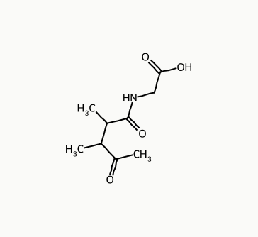 CC(=O)C(C)C(C)C(=O)NCC(=O)O